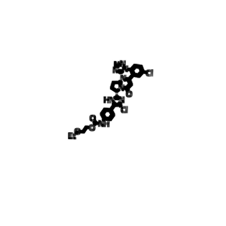 CCOCCOC(=O)Nc1ccc(-c2[nH]c([C@@H]3CCc4nc(-c5cc(Cl)ccc5-n5cnnn5)cc(=O)n43)nc2Cl)cc1